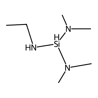 CCN[SiH](N(C)C)N(C)C